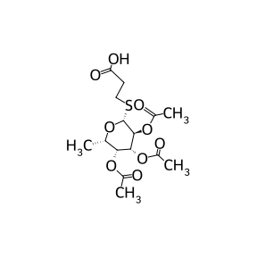 CC(=O)O[C@@H]1[C@H](OC(C)=O)[C@H](C)O[C@H](SCCC(=O)O)[C@H]1OC(C)=O